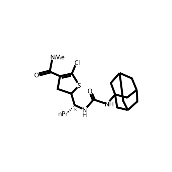 CCC[C@@H](NC(=O)NC12CC3CC(CC(C3)C1)C2)C1CC(C(=O)NC)=C(Cl)S1